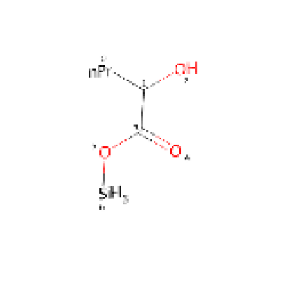 CCCC(O)C(=O)O[SiH3]